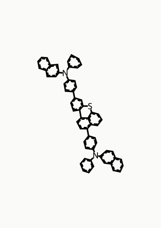 c1ccc(N(c2ccc(-c3ccc4c(c3)Sc3cccc5c(-c6ccc(N(c7ccccc7)c7ccc8ccccc8c7)cc6)ccc-4c35)cc2)c2ccc3ccccc3c2)cc1